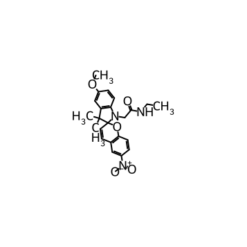 CCNC(=O)CN1c2ccc(OC)cc2C(C)(C)C12C=Cc1cc([N+](=O)[O-])ccc1O2